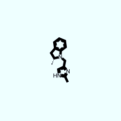 Cc1nc(CN2c3ccccc3C[C@H]2C)c[nH]1